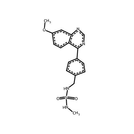 CNS(=O)(=O)NCc1ccc(-c2ncnc3cc(OC)ccc23)cc1